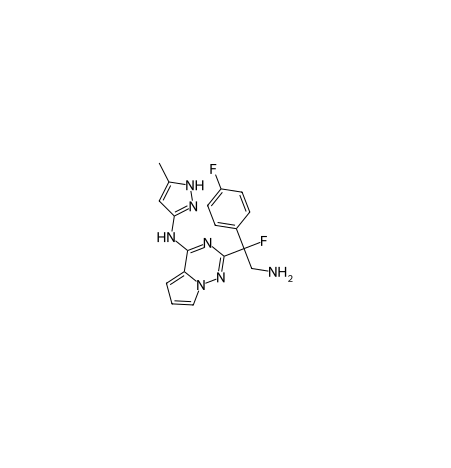 Cc1cc(Nc2nc(C(F)(CN)c3ccc(F)cc3)nn3cccc23)n[nH]1